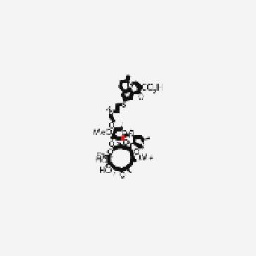 CC[C@H]1OC(=O)[C@H](C)[C@@H](O[C@H]2C[C@@](C)(OC)[C@@H](OCCN(C)CCSc3cc4c5c(c3)c(=O)c(C(=O)O)cn5C(C)CC4)[C@H](C)O2)[C@H](C)[C@@H](O[C@@H]2O[C@H](C)C[C@H](N(C)C)[C@H]2O)[C@](C)(OC)C[C@@H](C)C(=O)[C@H](C)[C@@H](O)[C@]1(C)O